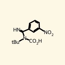 CC(C)(C)N(C(=N)c1cccc([N+](=O)[O-])c1)C(=O)O